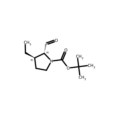 CC[C@@H]1CCN(C(=O)OC(C)(C)C)[C@H]1C=O